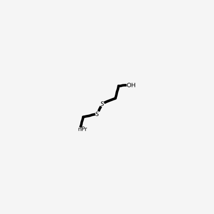 CCCCSSCCO